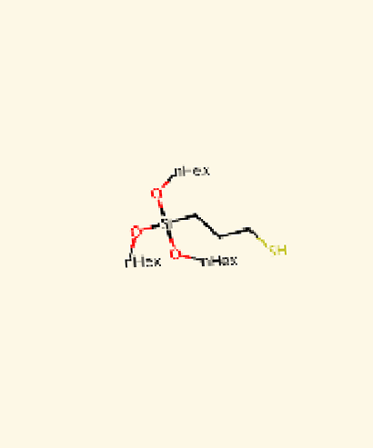 CCCCCCO[Si](CCCS)(OCCCCCC)OCCCCCC